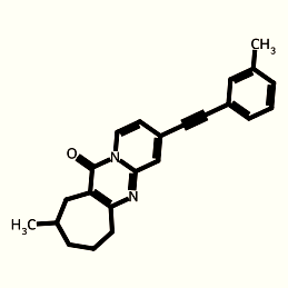 Cc1cccc(C#Cc2ccn3c(=O)c4c(nc3c2)CCCC(C)C4)c1